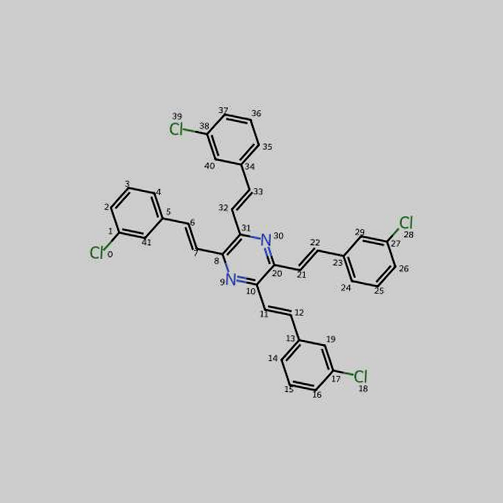 Clc1cccc(/C=C/c2nc(/C=C/c3cccc(Cl)c3)c(/C=C/c3cccc(Cl)c3)nc2/C=C/c2cccc(Cl)c2)c1